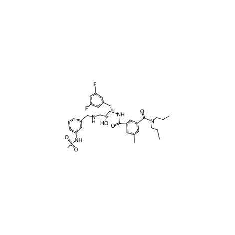 CCCN(CCC)C(=O)c1cc(C)cc(C(=O)N[C@@H](Cc2cc(F)cc(F)c2)[C@H](O)CNCc2cccc(NS(C)(=O)=O)c2)c1